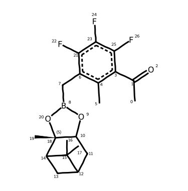 CC(=O)c1c(C)c(CB2OC3CC4CC(C4(C)C)[C@]3(C)O2)c(F)c(F)c1F